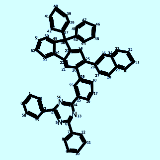 c1ccc(-c2nc(-c3ccccc3)nc(-c3cccc(-c4cc5c(cc4-c4ccc6ccccc6c4)C(c4ccccc4)(c4ccccc4)c4ccccc4-5)c3)n2)cc1